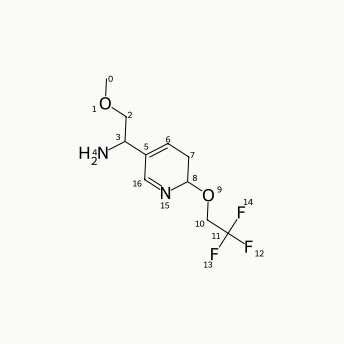 COCC(N)C1=CCC(OCC(F)(F)F)N=C1